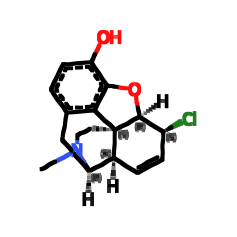 CN1CC[C@]23c4c5ccc(O)c4O[C@H]2[C@@H](Cl)C=C[C@H]3[C@H]1C5